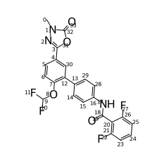 Cn1nc(-c2ccc(OC(F)F)c(-c3ccc(NC(=O)c4c(F)cccc4F)cc3)c2)oc1=O